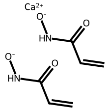 C=CC(=O)N[O-].C=CC(=O)N[O-].[Ca+2]